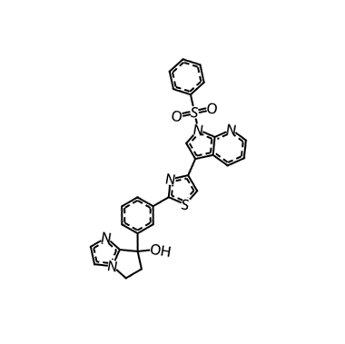 O=S(=O)(c1ccccc1)n1cc(-c2csc(-c3cccc(C4(O)CCn5ccnc54)c3)n2)c2cccnc21